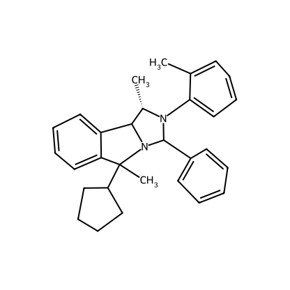 Cc1ccccc1N1C(c2ccccc2)N2C(c3ccccc3C2(C)C2CCCC2)[C@@H]1C